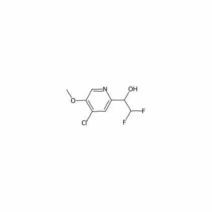 COc1cnc(C(O)C(F)F)cc1Cl